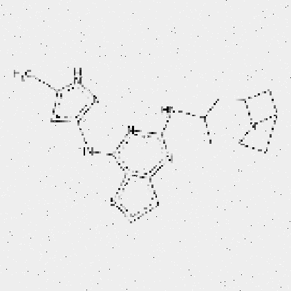 Cc1cc(Nc2nc(NC3CC4CC5CC(C3)N45)nc3ccsc23)n[nH]1